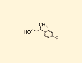 C[C@H](CCO)c1ccc(F)cc1